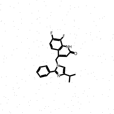 CC(C)c1cn(Cc2cc(=O)[nH]c3c(F)c(F)ccc23)c(-c2ccccc2)n1